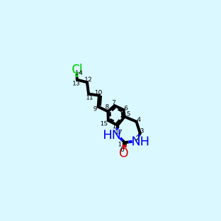 O=C1NCCc2ccc(C=CCCCCl)cc2N1